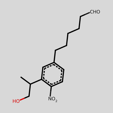 CC(CO)c1cc(CCCCCC=O)ccc1[N+](=O)[O-]